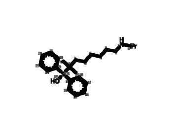 CC(C)NCCCCCCC(C)(C)[Si](O)(c1ccccc1)c1ccccc1